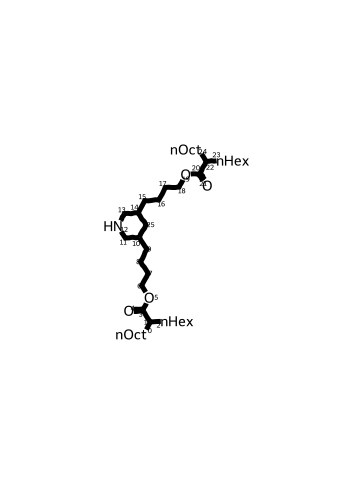 CCCCCCCCC(CCCCCC)C(=O)OCCCCC1CNCC(CCCCOC(=O)C(CCCCCC)CCCCCCCC)C1